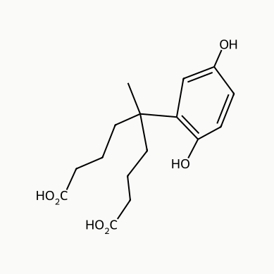 CC(CCCC(=O)O)(CCCC(=O)O)c1cc(O)ccc1O